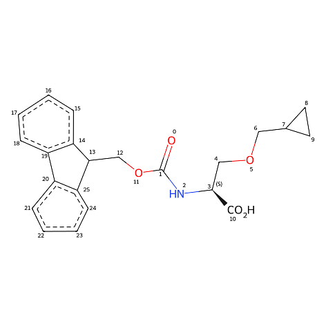 O=C(N[C@@H](COCC1CC1)C(=O)O)OCC1c2ccccc2-c2ccccc21